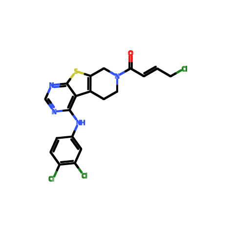 O=C(C=CCCl)N1CCc2c(sc3ncnc(Nc4ccc(Cl)c(Cl)c4)c23)C1